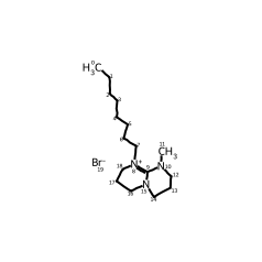 CCCCCCCC[N+]1=C2N(C)CCCN2CCC1.[Br-]